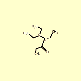 CCC(=O)[C@@H](CC)N(CC)CC